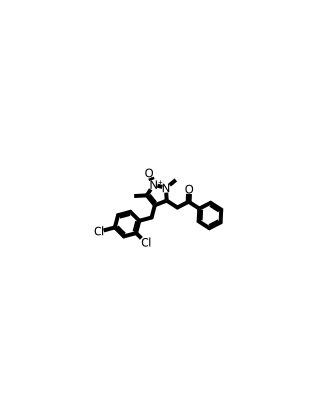 CC1=C(Cc2ccc(Cl)cc2Cl)C(CC(=O)c2ccccc2)N(C)[N+]1=O